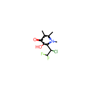 Cc1c(C)n(C)c(C(Cl)C(F)F)c(O)c1=O